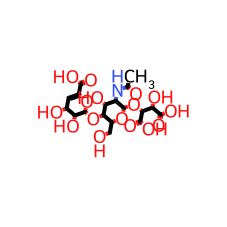 CC(=O)NC1C(OC(C(=O)O)C(O)C(=O)O)OC(CO)C(OC2OC(C(=O)O)=CC(O)C2O)C1O